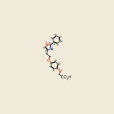 O=C(O)COc1ccc(OCCc2coc(-c3ccccc3)n2)cc1